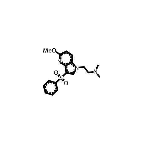 COc1ccc2c(n1)c(S(=O)(=O)c1ccccc1)cn2CCN(C)C